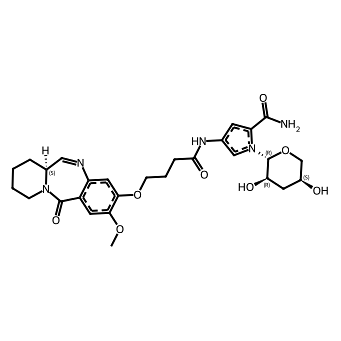 COc1cc2c(cc1OCCCC(=O)Nc1cc(C(N)=O)n([C@@H]3OC[C@@H](O)C[C@H]3O)c1)N=C[C@@H]1CCCCN1C2=O